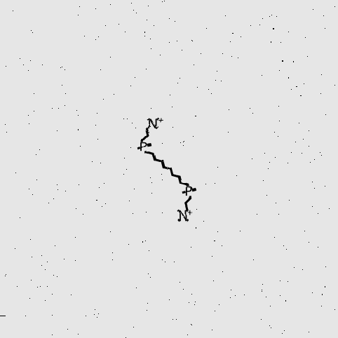 C=P(C)(CCCCCCCCCCP(=C)(C)CCC[N+](C)(C)C)CCC[N+](C)(C)C